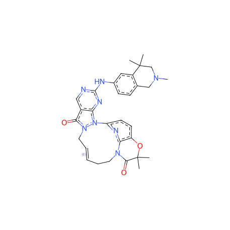 CN1Cc2ccc(Nc3ncc4c(=O)n5n(c4n3)-c3ccc4c(n3)N(CC/C=C/C5)C(=O)C(C)(C)O4)cc2C(C)(C)C1